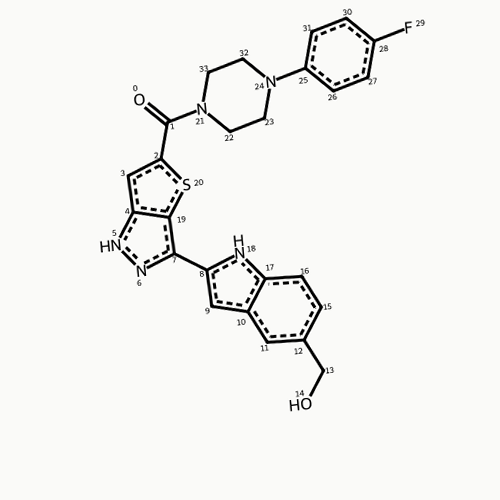 O=C(c1cc2[nH]nc(-c3cc4cc(CO)ccc4[nH]3)c2s1)N1CCN(c2ccc(F)cc2)CC1